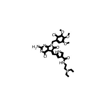 CCN(CC)CCNC(=O)c1c[nH]c(C=C2C(=O)N(Cc3cc(OC)c(OC)c(OC)c3Cl)c3nc(N)nc(Cl)c32)c1